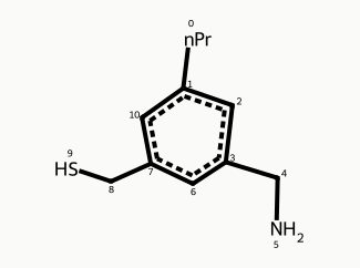 CCCc1cc(CN)cc(CS)c1